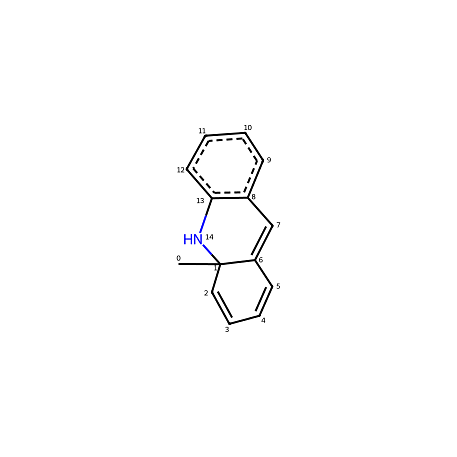 CC12C=CC=CC1=Cc1ccccc1N2